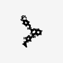 COc1ccc(CNc2nc(Nc3cc(C4CC4)[nH]n3)c3ccccc3n2)cc1